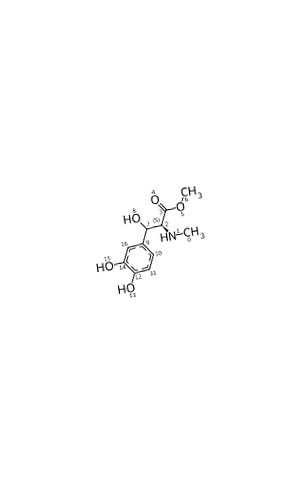 CN[C@H](C(=O)OC)C(O)c1ccc(O)c(O)c1